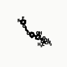 CC(C)(C)OC(=O)N1CCC(c2ccc(OCCCOc3ccc(F)c(F)c3)cc2)C(O)C1